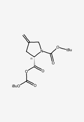 C=C1C[C@@H](C(=O)OC(=O)OCC(C)C)N(C(=O)OC(C)(C)C)C1